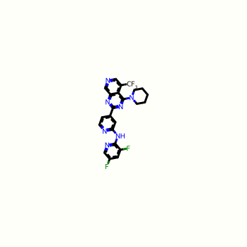 Fc1cnc(Nc2cc(-c3nc(N4CCCCC4)c4c(C(F)(F)F)cncc4n3)ccn2)c(F)c1